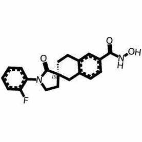 O=C(NO)c1ccc2c(c1)CC[C@@]1(CCN(c3ccccc3F)C1=O)C2